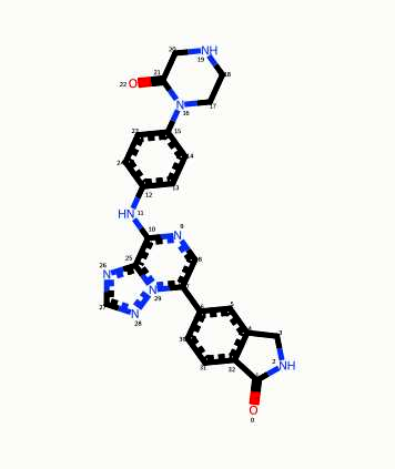 O=C1NCc2cc(-c3cnc(Nc4ccc(N5CCNCC5=O)cc4)c4ncnn34)ccc21